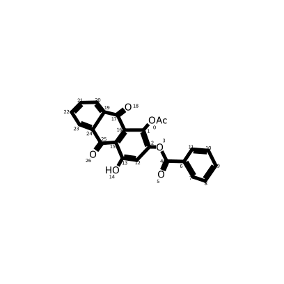 CC(=O)Oc1c(OC(=O)c2ccccc2)cc(O)c2c1C(=O)c1ccccc1C2=O